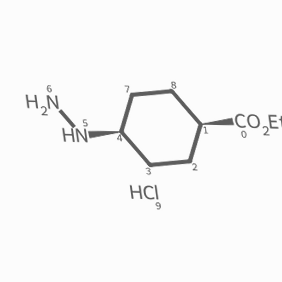 CCOC(=O)[C@H]1CC[C@@H](NN)CC1.Cl